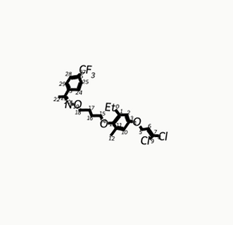 CCc1cc(OCC=C(Cl)Cl)cc(C)c1OCCCCON=C(C)c1ccc(C(F)(F)F)cc1